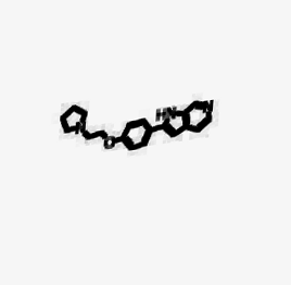 c1cc2cc(-c3ccc(OCCN4CCCC4)cc3)[nH]c2cn1